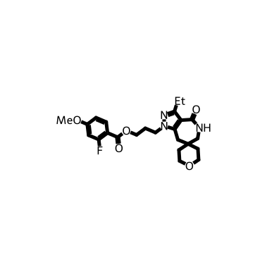 CCc1nn(CCCOC(=O)c2ccc(OC)cc2F)c2c1C(=O)NCC1(CCOCC1)C2